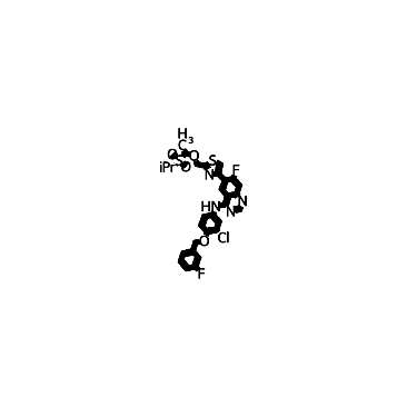 CC(C)S(=O)(=O)C(C)OCc1nc(-c2cc3c(Nc4ccc(OCc5cccc(F)c5)c(Cl)c4)ncnc3cc2F)cs1